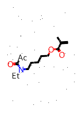 C=C(C)C(=O)OCCCCCN(CC)C(=O)C(C)=O